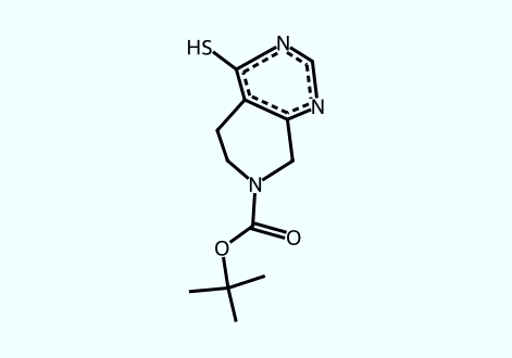 CC(C)(C)OC(=O)N1CCc2c(S)ncnc2C1